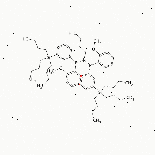 CCCCN(P(c1cccc([Si](CCCC)(CCCC)CCCC)c1)c1ccccc1OC)P(c1cccc([Si](CCCC)(CCCC)CCCC)c1)c1ccccc1OC